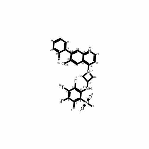 CS(=O)(=O)c1c(F)c(F)c(F)c(F)c1NC1CN(c2ccnc3cc(-c4ccccc4F)c(Cl)cc23)C1